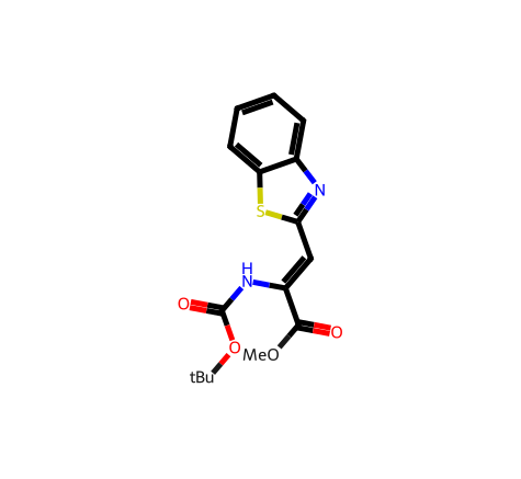 COC(=O)C(=Cc1nc2ccccc2s1)NC(=O)OC(C)(C)C